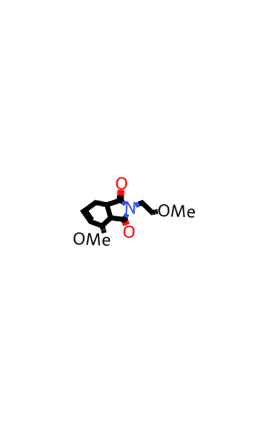 COCCN1C(=O)C2CC=CC(OC)C2C1=O